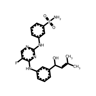 CC(C)=CC(O)c1cccc(Nc2nc(Nc3cccc(S(N)(=O)=O)c3)ncc2F)c1